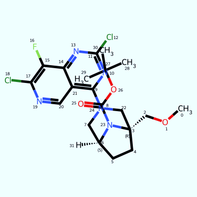 COC[C@@]12CC[C@@H](CN(c3nc(Cl)nc4c(F)c(Cl)ncc34)C1)N2C(=O)OC(C)(C)C